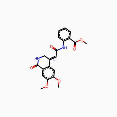 COC(=O)c1ccccc1NC(=O)/C=C1\CNC(=O)c2cc(OC)c(OC)cc21